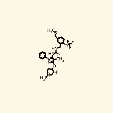 COCc1ccc(OC(F)(F)F)c(CNC(=O)Nc2c(C)c(OC3CCN(C)C[C@@H]3F)nn2-c2ccccc2)c1